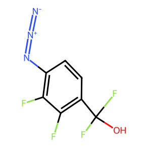 [N-]=[N+]=Nc1ccc(C(O)(F)F)c(F)c1F